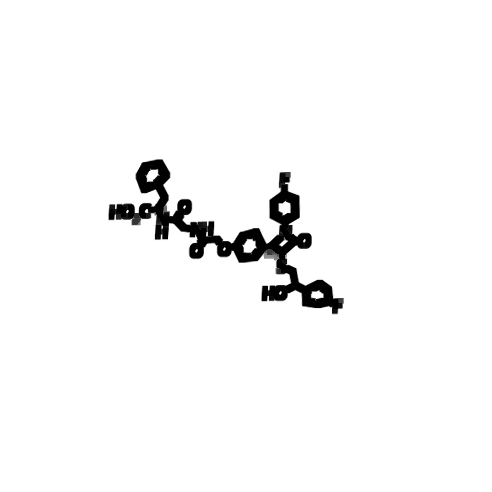 O=C(COc1ccc([C@@H]2[C@@H](SCC(O)c3ccc(F)cc3)C(=O)N2c2ccc(F)cc2)cc1)NCC(=O)N[C@H](Cc1ccccc1)C(=O)O